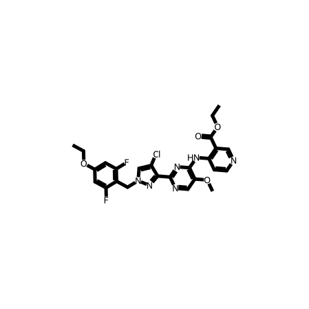 CCOC(=O)c1cnccc1Nc1nc(-c2nn(Cc3c(F)cc(OCC)cc3F)cc2Cl)ncc1OC